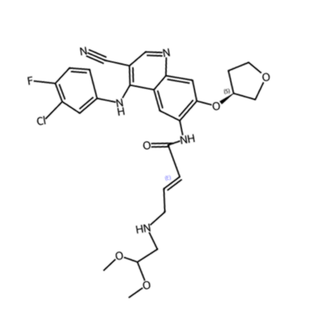 COC(CNC/C=C/C(=O)Nc1cc2c(Nc3ccc(F)c(Cl)c3)c(C#N)cnc2cc1O[C@H]1CCOC1)OC